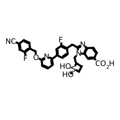 N#Cc1ccc(COc2cccc(-c3ccc(Cc4nc5ccc(C(=O)O)cc5n4CC4CCS4(O)O)c(F)c3)n2)c(F)c1